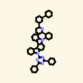 c1ccc(-c2cccc(-c3cccc(-c4ccccc4-n4c5ccccc5c5c6c7ccccc7n(-c7nc(-c8ccccc8)nc(-c8ccccc8)n7)c6ccc54)n3)c2)cc1